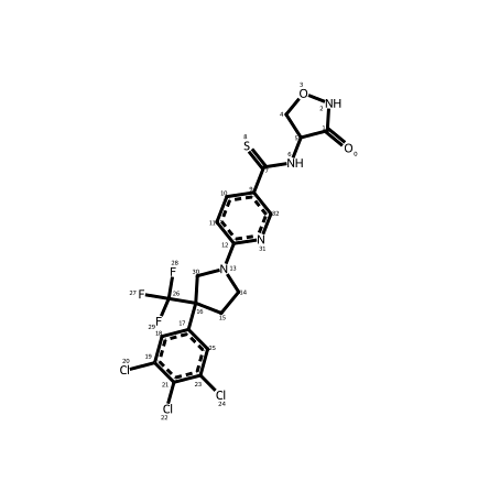 O=C1NOCC1NC(=S)c1ccc(N2CCC(c3cc(Cl)c(Cl)c(Cl)c3)(C(F)(F)F)C2)nc1